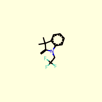 C=C1N(CC(F)(F)F)c2ccccc2C1(C)C